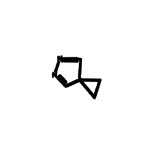 C1=NN=CC12CC2